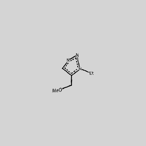 CCn1nncc1COC